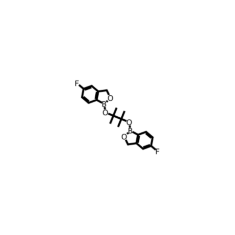 CC(C)(OB1OCc2cc(F)ccc21)C(C)(C)OB1OCc2cc(F)ccc21